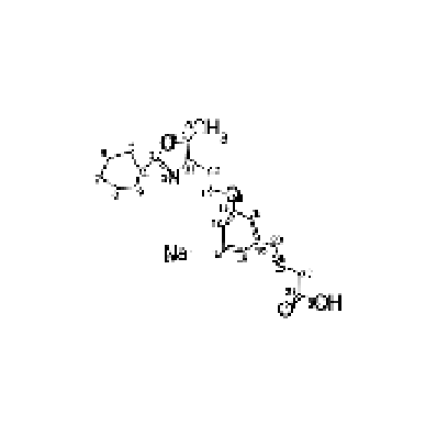 Cc1oc(C2CCCCC2)nc1CCOc1cccc(CSCC(=O)O)c1.[Na]